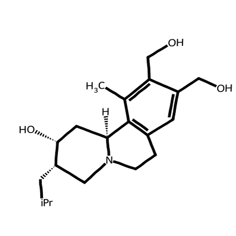 Cc1c(CO)c(CO)cc2c1[C@@H]1C[C@@H](O)[C@@H](CC(C)C)CN1CC2